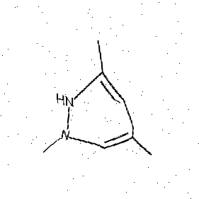 CC1=CN(C)NC(C)=C1